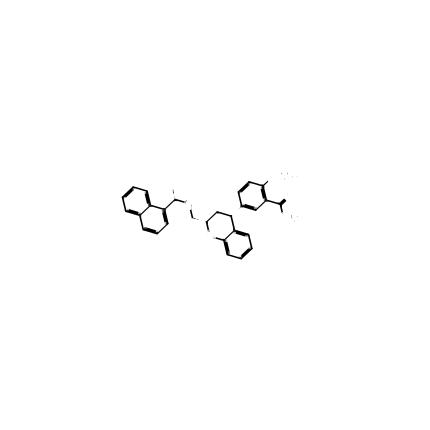 COC(=O)c1cc([C@@H]2C[C@H](CN[C@H](C)c3cccc4ccccc34)Oc3ccccc32)ccc1OC